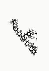 Cc1cc(CC(OC(=O)N2CCC(N3CCc4ccccc4NC3=O)CC2)C(=O)N2CCN(C3CCN(CC(=O)NO)CC3)CC2)cc(C)c1O